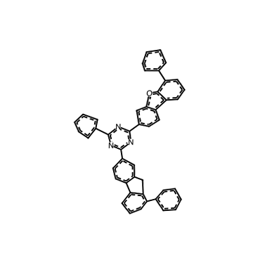 c1ccc(-c2nc(-c3ccc4c(c3)Cc3c(-c5ccccc5)cccc3-4)nc(-c3ccc4c(c3)oc3c(-c5ccccc5)cccc34)n2)cc1